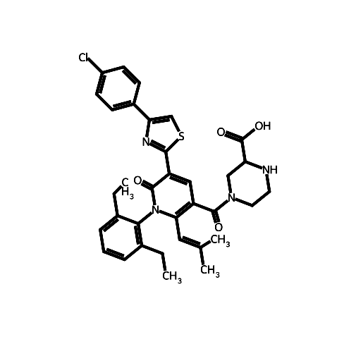 CCc1cccc(CC)c1-n1c(C=C(C)C)c(C(=O)N2CCNC(C(=O)O)C2)cc(-c2nc(-c3ccc(Cl)cc3)cs2)c1=O